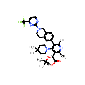 Cc1nc(C)c([C@H](OC(C)(C)C)C(=O)O)c(N2CCC(C)(C)CC2)c1-c1ccc2c(c1)CCN(c1nccc(C(F)(F)F)n1)C2